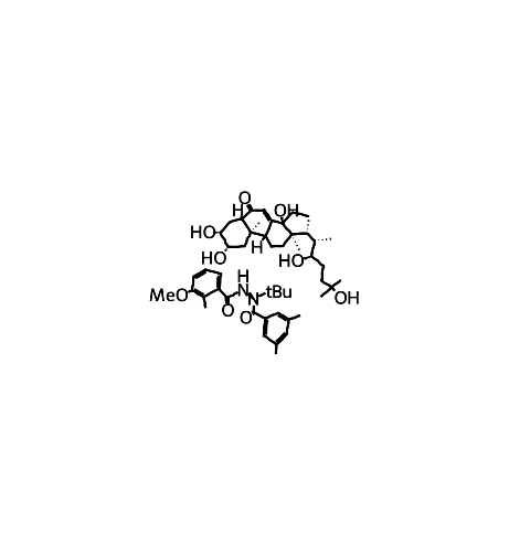 COc1cccc(C(=O)NN(C(=O)c2cc(C)cc(C)c2)C(C)(C)C)c1C.C[C@H]([C@H](O)CCC(C)(C)O)[C@H]1CC[C@@]2(O)C3=CC(=O)[C@@H]4C[C@@H](O)[C@@H](O)C[C@]4(C)[C@H]3CC[C@]12C